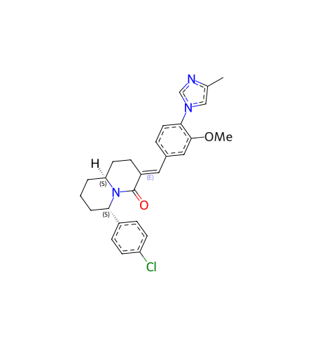 COc1cc(/C=C2\CC[C@@H]3CCC[C@@H](c4ccc(Cl)cc4)N3C2=O)ccc1-n1cnc(C)c1